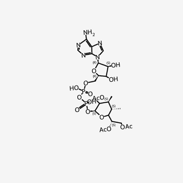 CC(=O)OC[C@H](OC(C)=O)C1O[C@@H](OP(=O)(O)OP(=O)(O)OC[C@H]2O[C@@H](n3cnc4c(N)ncnc43)[C@@H](O)C2O)C(OC(C)=O)[C@@H](C)[C@@H]1C